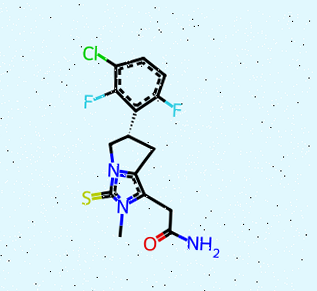 Cn1c(CC(N)=O)c2n(c1=S)C[C@H](c1c(F)ccc(Cl)c1F)C2